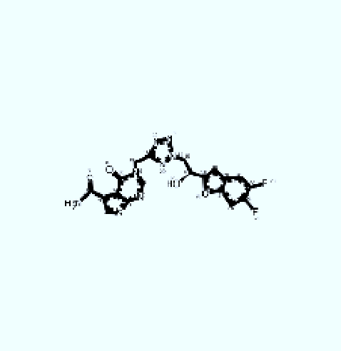 NC(=O)c1csc2ncn(Cc3nnn(C[C@H](O)c4cc5cc(F)c(F)cc5o4)n3)c(=O)c12